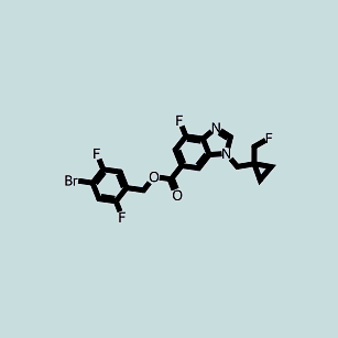 O=C(OCc1cc(F)c(Br)cc1F)c1cc(F)c2ncn(CC3(CF)CC3)c2c1